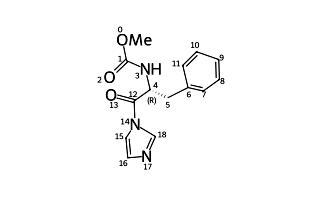 COC(=O)N[C@H](Cc1ccccc1)C(=O)n1ccnc1